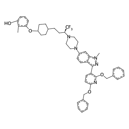 Cc1c(O)cccc1OC1CCC(CC[C@H](N2CCN(c3ccc4c(-c5ccc(OCc6ccccc6)nc5OCc5ccccc5)nn(C)c4c3)CC2)C(F)(F)F)CC1